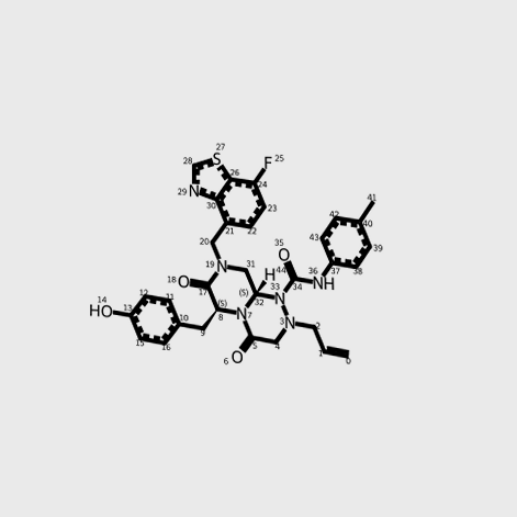 C=CCN1CC(=O)N2[C@@H](Cc3ccc(O)cc3)C(=O)N(Cc3ccc(F)c4scnc34)C[C@@H]2N1C(=O)Nc1ccc(C)cc1